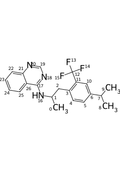 CC(Cc1ccc(C(C)C)cc1C(F)(F)F)Nc1ncnc2ccccc12